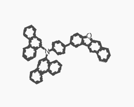 c1ccc2cc3c(cc2c1)oc1ccc(-c2ccc(N(c4cc5ccccc5c5ccccc45)c4cc5ccccc5c5ccccc45)cc2)cc13